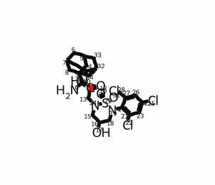 NC(=O)C12CC3CC(C1)C(NC(=O)CN1CC(O)CN(c4c(Cl)cc(Cl)cc4Cl)S1(=O)=O)C(C3)C2